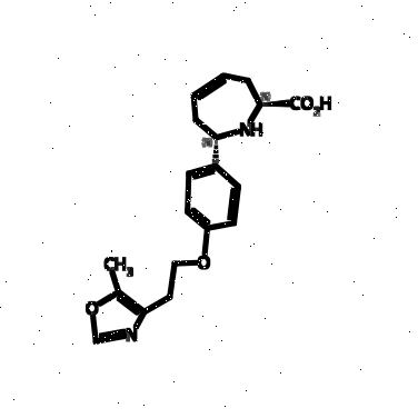 Cc1ocnc1CCOc1ccc([C@@H]2CC=CC[C@@H](C(=O)O)N2)cc1